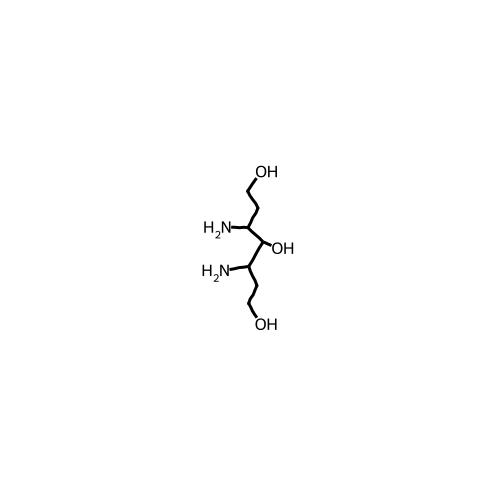 NC(CCO)C(O)C(N)CCO